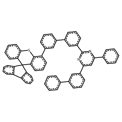 c1ccc(-c2cccc(-c3cc(-c4ccccc4)nc(-c4cccc(-c5cccc(-c6cccc7c6Sc6ccccc6C76c7ccccc7-c7ccccc76)c5)c4)n3)c2)cc1